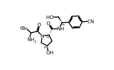 CC(C)(C)C(N)C(=O)N1C[C@H](O)C[C@H]1C(=O)N[C@@H](CO)c1ccc(C#N)cc1